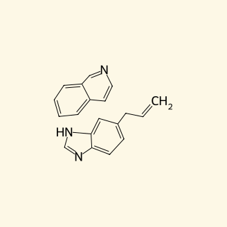 C=CCc1ccc2nc[nH]c2c1.c1ccc2cnccc2c1